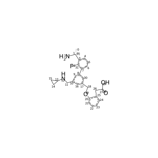 C[C@@H](N)c1cccc(-c2cc(CNC3CC3)cc(COc3ccccc3CC(=O)O)c2)c1F